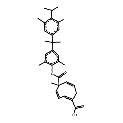 Cc1cc(C(C)(C)c2cc(C)c(C(C)C)c(C)c2)cc(C)c1OC(=O)C1(C)/C=C\C=C(/C(=O)O)C/C=C\1